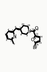 Cc1cccc(C=C2CCN(C(=O)c3ccc(Br)o3)CC2)n1